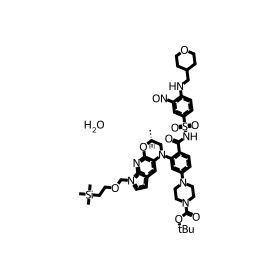 C[C@@H]1CN(c2cc(N3CCN(C(=O)OC(C)(C)C)CC3)ccc2C(=O)NS(=O)(=O)c2ccc(NCC3CCOCC3)c(N=O)c2)c2cc3ccn(COCC[Si](C)(C)C)c3nc2O1.O